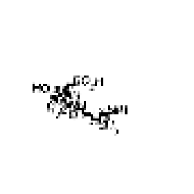 C[C@H](CCCCC(=O)N[C@@H](C)C(=C=O)N[C@@H](CCC(=O)O)C(=O)O)CCSS